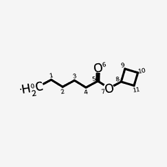 [CH2]CCCCC(=O)OC1CCC1